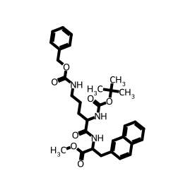 COC(=O)C(Cc1ccc2ccccc2c1)NC(=O)C(CCCNC(=O)OCc1ccccc1)NC(=O)OC(C)(C)C